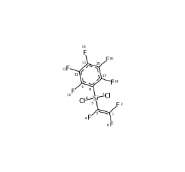 FC(F)=C(F)[Si](Cl)(Cl)c1c(F)c(F)c(F)c(F)c1F